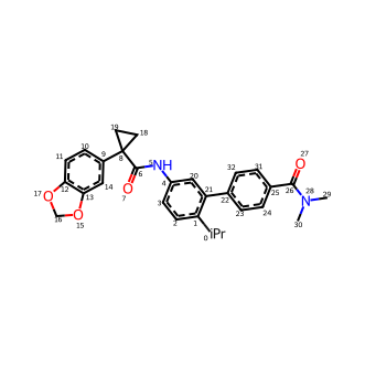 CC(C)c1ccc(NC(=O)C2(c3ccc4c(c3)OCO4)CC2)cc1-c1ccc(C(=O)N(C)C)cc1